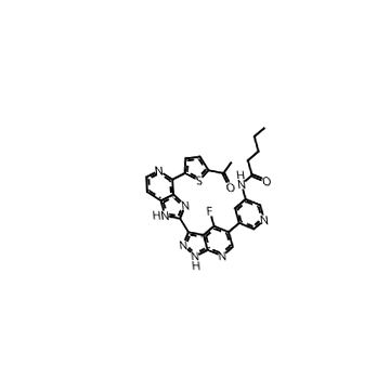 CCCCC(=O)Nc1cncc(-c2cnc3[nH]nc(-c4nc5c(-c6ccc(C(C)=O)s6)nccc5[nH]4)c3c2F)c1